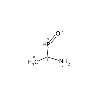 CC(N)[PH]=O